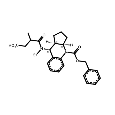 CCN(C(=O)C(C)CC(=O)O)[C@H]1c2ccccc2N(C(=O)OCc2ccccc2)[C@@H]2CCC[C@@H]21